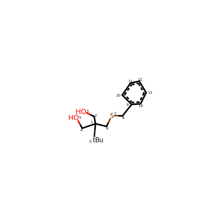 CC(C)(C)C(CO)(CO)CSCc1ccccc1